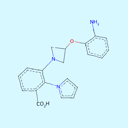 Nc1ccccc1OC1CN(c2cccc(C(=O)O)c2-n2cccc2)C1